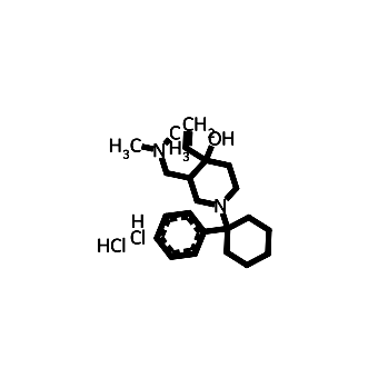 C=CC1(O)CCN(C2(c3ccccc3)CCCCC2)CC1CN(C)C.Cl.Cl